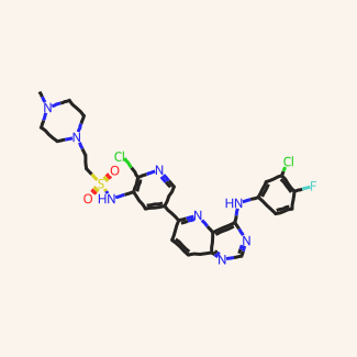 CN1CCN(CCS(=O)(=O)Nc2cc(-c3ccc4ncnc(Nc5ccc(F)c(Cl)c5)c4n3)cnc2Cl)CC1